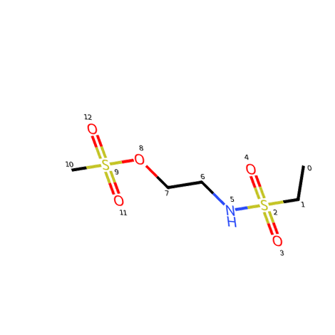 CCS(=O)(=O)NCCOS(C)(=O)=O